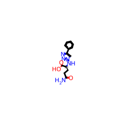 NC(=O)CC[C@H](Nn1cc(-c2ccccc2)nn1)C(=O)O